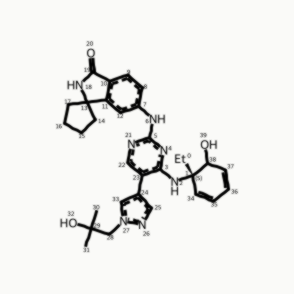 CC[C@]1(Nc2nc(Nc3ccc4c(c3)C3(CCCC3)NC4=O)ncc2-c2cnn(CC(C)(C)O)c2)C=CC=CC1O